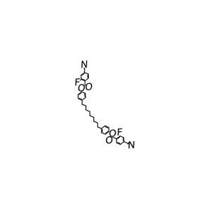 N#Cc1ccc(C(=O)Oc2ccc(CCCCCCCCCc3ccc(OC(=O)c4ccc(C#N)cc4F)cc3)cc2)c(F)c1